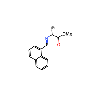 COC(=O)C(N=Cc1cccc2ccccc12)C(C)C